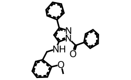 COc1ccccc1CNc1cc(-c2ccccc2)nn1C(=O)c1ccccc1